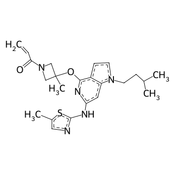 C=CC(=O)N1CC(C)(Oc2nc(Nc3ncc(C)s3)cc3c2ccn3CCC(C)C)C1